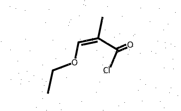 CCOC=C(C)C(=O)Cl